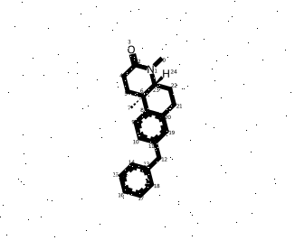 CN1C(=O)CC[C@]2(C)c3ccc(Cc4ccccc4)cc3CC[C@@H]12